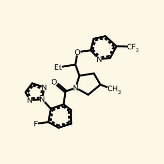 CCC(Oc1ccc(C(F)(F)F)cn1)C1CC(C)CN1C(=O)c1cccc(F)c1-n1nccn1